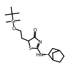 CC(C)(C)[Si](C)(C)OCCC1SC(N[C@H]2CC3CCC2C3)=NC1=O